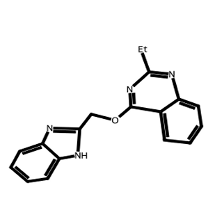 CCc1nc(OCc2nc3ccccc3[nH]2)c2ccccc2n1